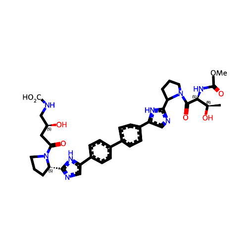 COC(=O)N[C@H](C(=O)N1CCCC1c1ncc(-c2ccc(-c3ccc(-c4cnc([C@@H]5CCCN5C(=O)C[C@H](O)CNC(=O)O)[nH]4)cc3)cc2)[nH]1)[C@@H](C)O